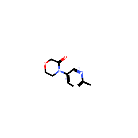 C=C(C)/N=C\C(=C/C)N1CCOCC1=O